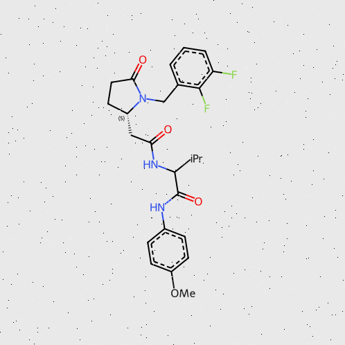 COc1ccc(NC(=O)C(NC(=O)C[C@@H]2CCC(=O)N2Cc2cccc(F)c2F)C(C)C)cc1